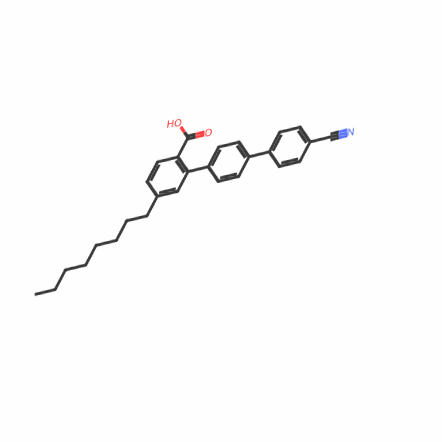 CCCCCCCCc1ccc(C(=O)O)c(-c2ccc(-c3ccc(C#N)cc3)cc2)c1